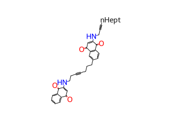 CCCCCCCC#CCNC1=CC(=O)c2cc(CCCC#CCCNC3=CC(=O)c4ccccc4C3=O)ccc2C1=O